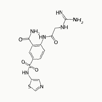 N=C(N)NCC(=O)Nc1ccc(S(=O)(=O)Nc2cncs2)cc1C(N)=O